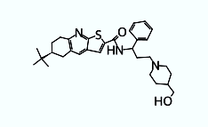 CC(C)(C)[C@H]1CCc2nc3sc(C(=O)NC(CCN4CCC(CO)CC4)c4ccccc4)cc3cc2C1